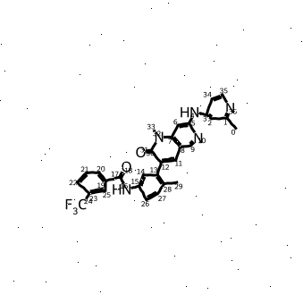 Cc1cc(Nc2cc3c(cn2)cc(-c2cc(NC(=O)c4cccc(C(F)(F)F)c4)ccc2C)c(=O)n3C)ccn1